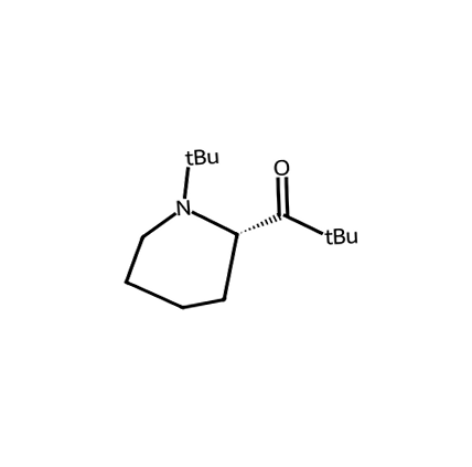 CC(C)(C)C(=O)[C@@H]1CCCCN1C(C)(C)C